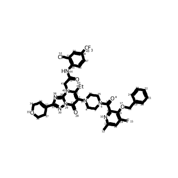 CCc1c(N2CCN(C(=O)c3nc(C)cc(F)c3OCc3ccccc3)CC2)c(=O)n2nc(C3=CCOCC3)nc2n1CC(=O)Nc1ccc(C(F)(F)F)cc1Cl